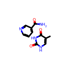 Cc1c[nH]c(=O)[nH]c1=O.NC(=O)c1cccnc1